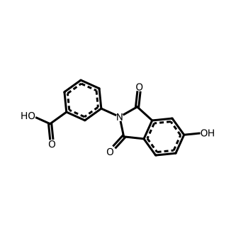 O=C(O)c1cccc(N2C(=O)c3ccc(O)cc3C2=O)c1